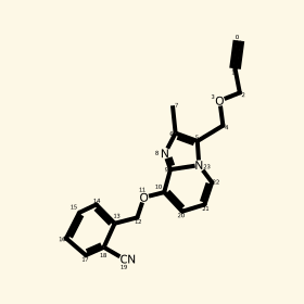 C#CCOCc1c(C)nc2c(OCc3ccccc3C#N)cccn12